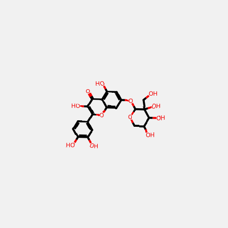 O=c1c(O)c(-c2ccc(O)c(O)c2)oc2cc(OC3OCC(O)C(O)C3(O)CO)cc(O)c12